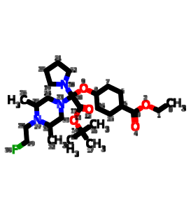 CCOC(=O)C1CCC(OC(C(=O)OC(C)(C)C)(N2CCCC2)N2CC(C)N(CCF)C(C)C2)CC1